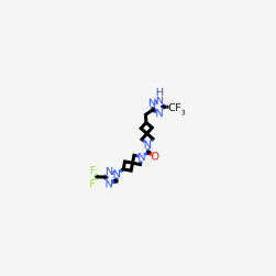 O=C(N1CC2(CC(Cc3n[nH]c(C(F)(F)F)n3)C2)C1)N1CC2(CC(n3cnc(C(F)F)n3)C2)C1